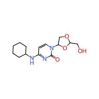 O=c1nc(NC2CCCCC2)ccn1C1COC(CO)O1